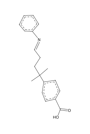 CC(C)(CCC=Nc1ccccc1)c1ccc(C(=O)O)cc1